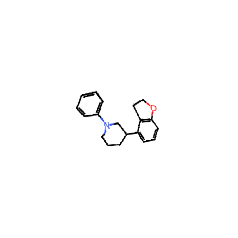 c1ccc(N2CCCC(c3cccc4c3CCO4)C2)cc1